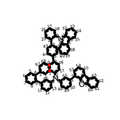 c1ccc(-c2ccccc2-c2cccc(N(c3ccc(-c4ccc(-c5ccccc5-n5c6ccccc6c6ccccc65)cc4)cc3)c3cccc(-c4cccc5c4oc4ccccc45)c3)c2)cc1